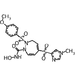 COc1ccc(S(=O)(=O)N2CC=C(S(=O)(=O)c3cn(C)cn3)C=CN2C(=O)NO)cc1